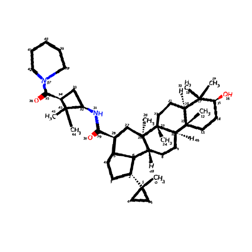 CC1([C@@H]2CCC3C2[C@H]2CC[C@@H]4[C@@]5(C)CC[C@H](O)C(C)(C)[C@@H]5CC[C@@]4(C)[C@]2(C)C[C@@H]3C(=O)N[C@@H]2C[C@H](C(=O)N3CCCCC3)C2(C)C)CC1